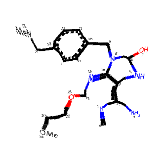 C=N/C(N)=C1/NC(O)N(Cc2ccc(CNC)cc2)/C1=N/COCCOC